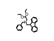 CCOC(CN([CH]C1c2ccccc2-c2ccccc21)Cc1ccccc1)OCC